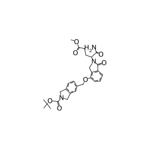 COC(=O)CCC(C(N)=O)N1Cc2c(OCc3ccc4c(c3)CN(C(=O)OC(C)(C)C)C4)cccc2C1=O